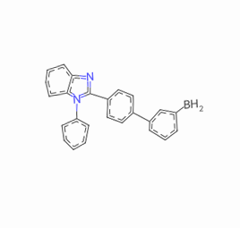 Bc1cccc(-c2ccc(-c3nc4ccccc4n3-c3ccccc3)cc2)c1